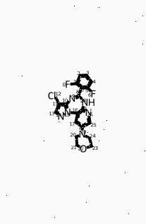 Fc1cccc(F)c1C1=Nc2c(Cl)cnn2-c2cc(N3CCOCC3)cnc2N1